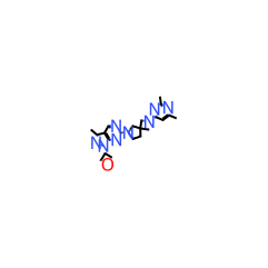 Cc1cc(N2CC3(CCN(c4ncc5c(C)nn(C6COC6)c5n4)C3)C2)nc(C)n1